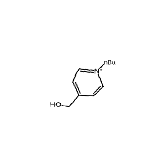 CCCC[n+]1ccc(CO)cc1